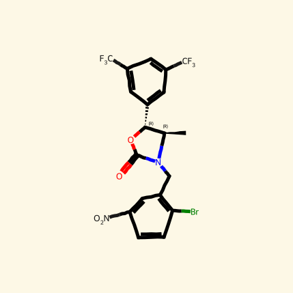 C[C@@H]1[C@@H](c2cc(C(F)(F)F)cc(C(F)(F)F)c2)OC(=O)N1Cc1cc([N+](=O)[O-])ccc1Br